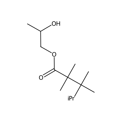 CC(O)COC(=O)C(C)(C)C(C)(C)C(C)C